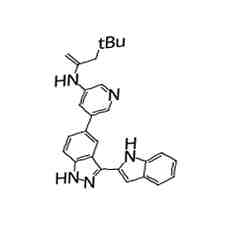 C=C(CC(C)(C)C)Nc1cncc(-c2ccc3[nH]nc(-c4cc5ccccc5[nH]4)c3c2)c1